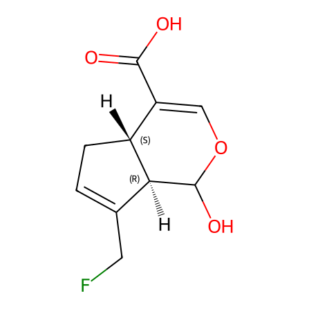 O=C(O)C1=COC(O)[C@H]2C(CF)=CC[C@H]12